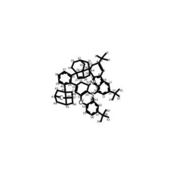 CC(C)(C)C1=Cc2c(n3c4c(cc(C(C)(C)C)cc24)[SH]2C4=C(C=C(c5c(C67C=C8CC9CC(CC6)CC897)cccc5C56CC7CC8CC(C5)C86C7)CC43)Oc3ccc(C(C)(C)C)cc32)CC1